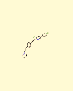 CC1CCN(CC=Cc2ccc(C#Cc3ncc(-c4ccc(Cl)cc4)cc3F)cc2)CC1